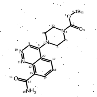 CC(C)(C)OC(=O)N1CCN(c2cnnc3c(C(N)=O)cccc23)CC1